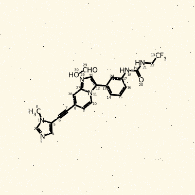 Cn1cncc1C#Cc1ccn2c(-c3cccc(NC(=O)NCC(F)(F)F)c3)cnc2c1.O=CO